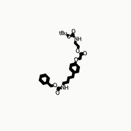 CC(C)(C)OC(=O)NCCOC(=O)COc1ccc(CCCCNC(=O)OCc2ccccc2)cc1